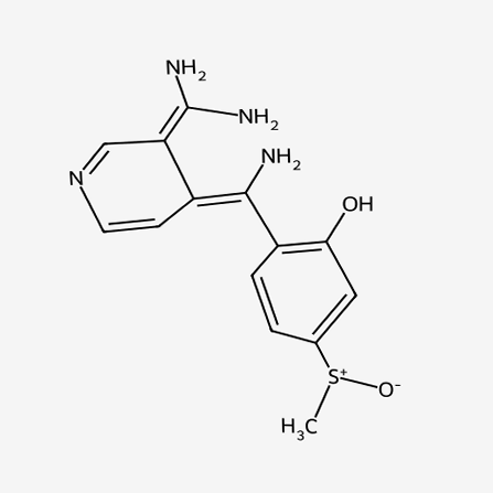 C[S+]([O-])c1ccc(/C(N)=c2\ccncc2=C(N)N)c(O)c1